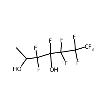 CC(O)C(F)(F)C(O)(F)C(F)(F)C(F)(F)C(F)(F)F